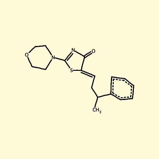 CC(CC=C1SC(N2CCOCC2)=NC1=O)c1ccccc1